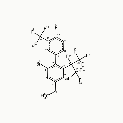 CCc1[c]c(Br)c(-c2ccc(F)c(C(F)(F)F)c2)c(C(F)(C(F)(F)F)C(F)(F)F)c1